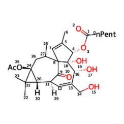 CCCCCC(=O)O[C@H]1C(C)=CC23C(=O)[C@@H](C=C(CO)[C@@H](O)[C@]12O)[C@@H]1C(C)(C)[C@]1(OC(C)=O)CC3C